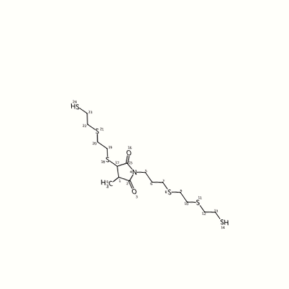 CC1C(=O)N(CCCSCCSCCS)C(=O)C1SCCSCCS